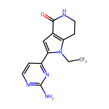 Nc1nccc(-c2cc3c(n2CC(F)(F)F)CCNC3=O)n1